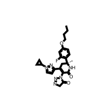 CCCCOc1ccc([C@]2(C)CC(c3ccn(C4CC4)n3)=C(N3N=NCC3=O)C(=O)N2)c(F)c1